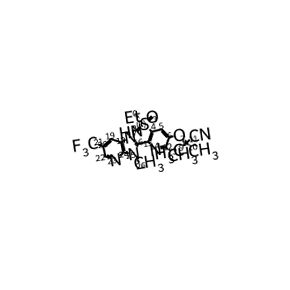 CC[S@@](=N)(=O)c1cc(OC(C)(C)C#N)c(C)nc1-c1nc2cc(C(F)(F)F)cnc2n1C